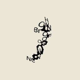 C[C@@H](CO[C@@H]1CCN(C2CCN(c3ccc(C#N)cn3)CC2)C1=O)Oc1cn[nH]c(=O)c1Br